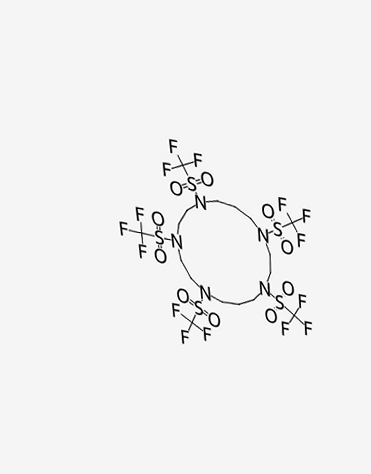 O=S(=O)(N1CCCN(S(=O)(=O)C(F)(F)F)CCN(S(=O)(=O)C(F)(F)F)CCN(S(=O)(=O)C(F)(F)F)CCCN(S(=O)(=O)C(F)(F)F)CC1)C(F)(F)F